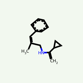 C=C(NC/C(C)=C\c1ccccc1)C1CC1